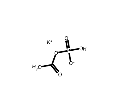 CC(=O)OP(=O)([O-])O.[K+]